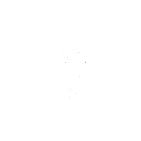 O=C(c1ccc(NS(=O)(=O)c2cccc3ccnnc23)cc1)N1CCC(O)(c2ccccc2Cl)CC1